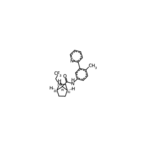 Cc1ccc(NC(=O)[C@@H]2[C@@H]3CC[C@H]2N(CC(F)(F)F)C3)cc1-c1ccccn1